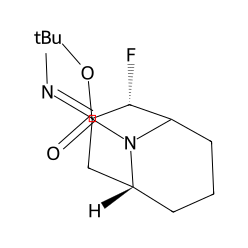 CN=C1C[C@H]2CCCC([C@H]1F)N2C(=O)OC(C)(C)C